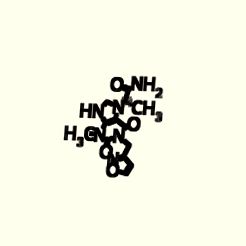 C[C@@H](C(N)=O)N1CNc2c1c(=O)n(Cc1ccon1)c(=O)n2C